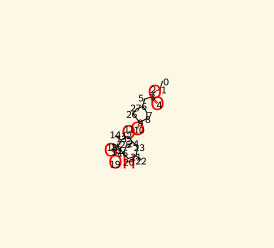 CCOC(=O)C[C@H]1CC[C@@H](OO[C@H]2C(C)CC3(C(=O)O)CC(C)CC2C3)CC1